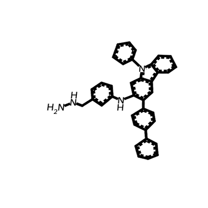 NNCc1cccc(Nc2cc3c(cc2-c2ccc(-c4ccccc4)cc2)c2ccccc2n3-c2ccccc2)c1